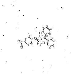 CC(C)([SiH2]O[C@H]1CC[C@@H](C(=O)Cl)CC1)C(c1ccccc1)c1ccccc1